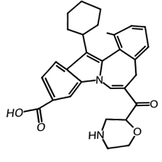 Cc1cccc2c1-c1c(C3CCCCC3)c3ccc(C(=O)O)cc3n1C=C(C(=O)C1CNCCO1)C2